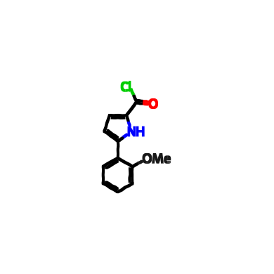 COc1ccccc1-c1ccc(C(=O)Cl)[nH]1